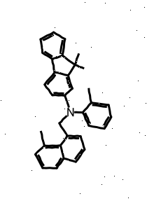 Cc1ccccc1N(Cc1cccc2cccc(C)c12)c1ccc2c(c1)C(C)(C)c1ccccc1-2